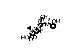 CON=C1CN(c2nc3c(cc2F)c(=O)c(C(=O)O)cn3C2CC2)CC1CN=Cc1ccccc1O